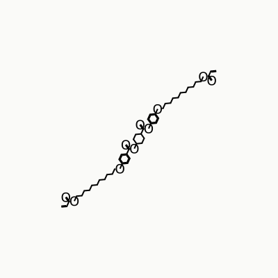 C=CC(=O)OCCCCCCCCCCCOc1ccc(OC(=O)C2CCC(OC(=O)c3ccc(OCCCCCCCCCCCOC(=O)C=C)cc3)CC2)cc1